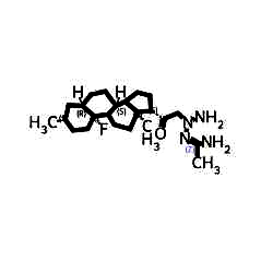 C/C(N)=N/N(N)CC(=O)[C@H]1CCC2[C@@H]3CC[C@@H]4C[C@@H](C)CC[C@]4(F)C3CC[C@@]21C